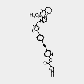 C[C@H](OC1CCCCO1)c1nccn1Cc1cc(-c2ccc(C#Cc3ccc(OC(=O)C4CNC4)nc3)cc2)on1